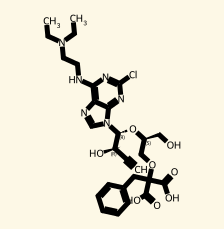 C#C[C@@H](O)[C@@H](O[C@@H](CO)COC(Cc1ccccc1)(C(=O)O)C(=O)O)n1cnc2c(NCCN(CC)CC)nc(Cl)nc21